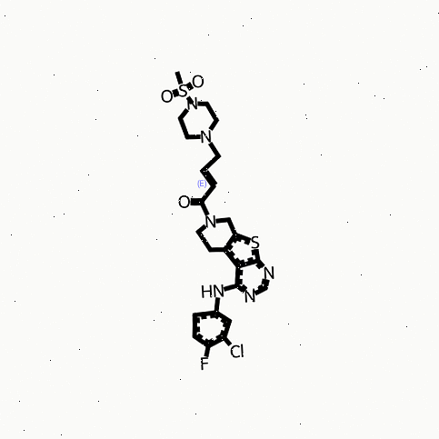 CS(=O)(=O)N1CCN(C/C=C/C(=O)N2CCc3c(sc4ncnc(Nc5ccc(F)c(Cl)c5)c34)C2)CC1